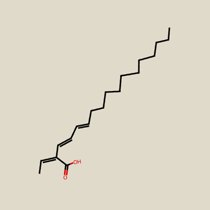 CC=C(C=CC=CCCCCCCCCCCC)C(=O)O